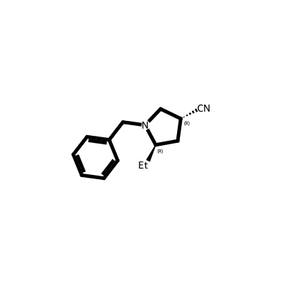 CC[C@@H]1C[C@@H](C#N)CN1Cc1ccccc1